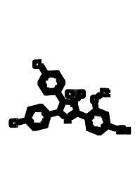 CCOc1cc(C(C)(C)C)ccc1C1=NC(c2ccc(Cl)cc2)C(c2ccc(Cl)cc2)N1C=O